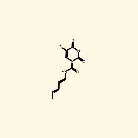 CC=CC=CNC(=O)n1cc(F)c(=O)[nH]c1=O